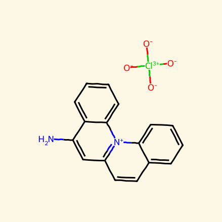 Nc1cc2ccc3ccccc3[n+]2c2ccccc12.[O-][Cl+3]([O-])([O-])[O-]